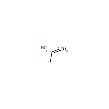 Cl.[C]C=C